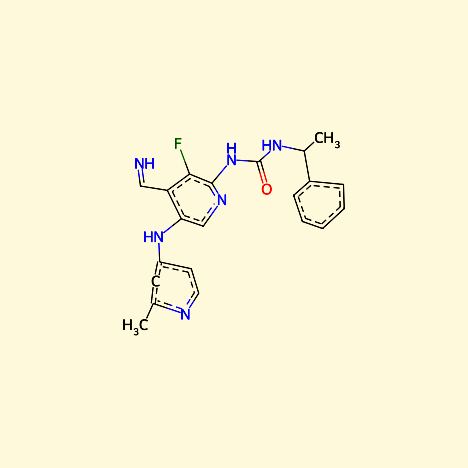 Cc1cc(Nc2cnc(NC(=O)NC(C)c3ccccc3)c(F)c2C=N)ccn1